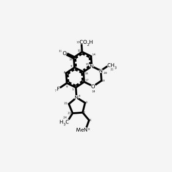 CNCC1CN(c2c(F)cc3c(=O)c(C(=O)O)cn4c3c2OCN4C)CC1C